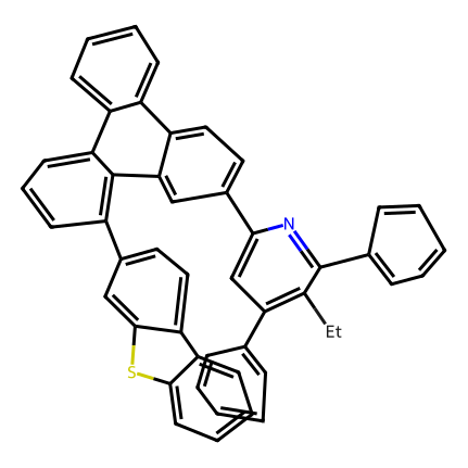 CCc1c(-c2ccccc2)cc(-c2ccc3c4ccccc4c4cccc(-c5ccc6c(c5)sc5ccccc56)c4c3c2)nc1-c1ccccc1